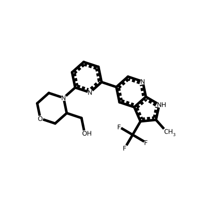 Cc1[nH]c2ncc(-c3cccc(N4CCOCC4CO)n3)cc2c1C(F)(F)F